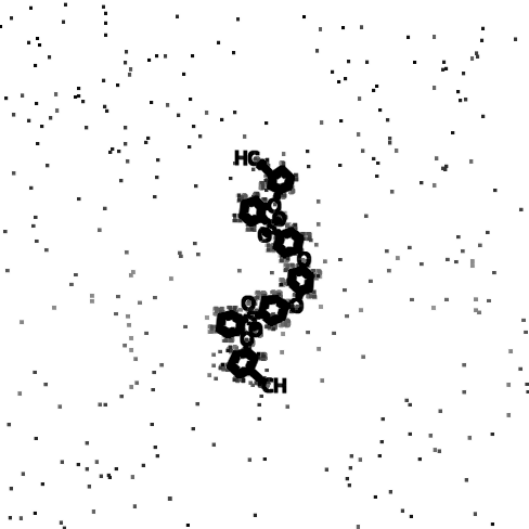 C#Cc1cccc(Oc2ccccc2S(=O)(=O)c2ccc(Oc3ccc(Oc4ccc(S(=O)(=O)c5ccccc5Oc5cccc(C#C)c5)cc4)cc3)cc2)c1